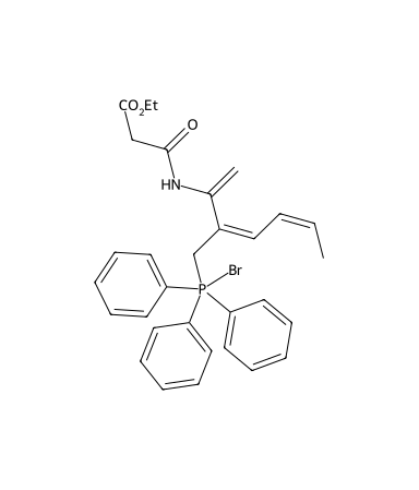 C=C(NC(=O)CC(=O)OCC)/C(=C\C=C/C)CP(Br)(c1ccccc1)(c1ccccc1)c1ccccc1